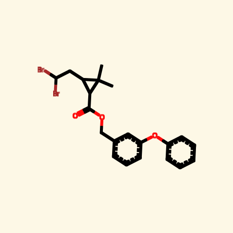 CC1(C)C(CC(Br)Br)C1C(=O)OCc1cccc(Oc2ccccc2)c1